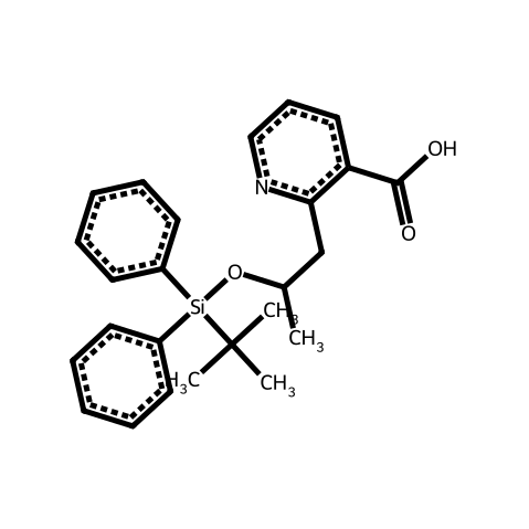 CC(Cc1ncccc1C(=O)O)O[Si](c1ccccc1)(c1ccccc1)C(C)(C)C